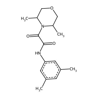 Cc1cc(C)cc(NC(=O)C(=O)N2C(C)COCC2C)c1